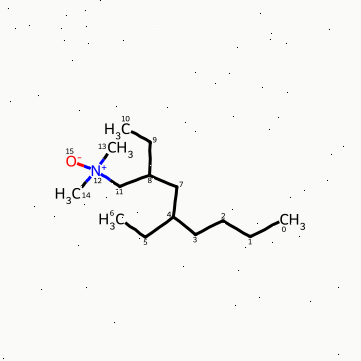 CCCCC(CC)CC(CC)C[N+](C)(C)[O-]